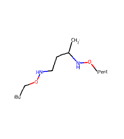 [CH2]C(CCNOCC(C)CC)NOC(C)CCC